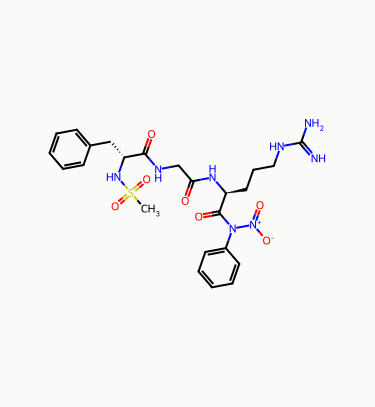 CS(=O)(=O)N[C@H](Cc1ccccc1)C(=O)NCC(=O)N[C@@H](CCCNC(=N)N)C(=O)N(c1ccccc1)[N+](=O)[O-]